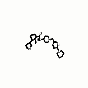 O=C(NC1CCN(Cc2ccc(N3CCCCC3)nc2)CC1)c1cccc(-c2cccnc2)c1F